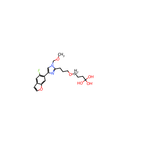 COCn1cc(-c2cc3occc3cc2F)nc1CCCO[SiH2]CCC(O)(O)O